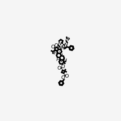 CC(C)C1=C2[C@H]3CC[C@@H]4[C@@]5(C)CC[C@H](OC(=O)[C@H]6C[C@@H](C(=O)OCc7ccccc7)C6(C)C)C(C)(C)[C@@H]5CC[C@@]4(C)[C@]3(C)CCC2(NC(=O)N2CCC[C@H]2c2ncc(-c3ccccc3)n2CCN(C)C)CC1=O